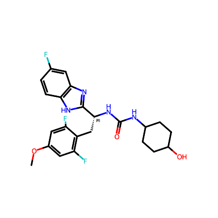 COc1cc(F)c(C[C@@H](NC(=O)NC2CCC(O)CC2)c2nc3cc(F)ccc3[nH]2)c(F)c1